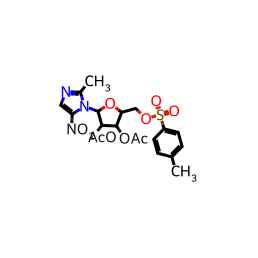 CC(=O)OC1C(COS(=O)(=O)c2ccc(C)cc2)OC(n2c([N+](=O)[O-])cnc2C)C1OC(C)=O